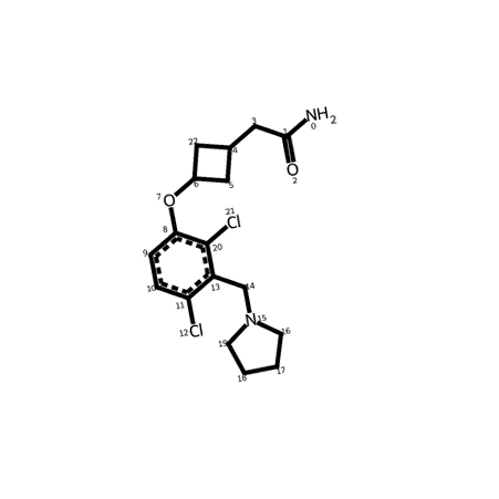 NC(=O)CC1CC(Oc2ccc(Cl)c(CN3CCCC3)c2Cl)C1